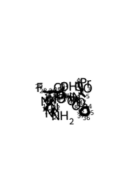 CC(C)OC(=O)C(C)NP(=O)(OC[C@H]1O[C@@H](n2cnc3cnc(N)nc32)[C@@](Cl)(C#CCF)C1O)Oc1ccccc1